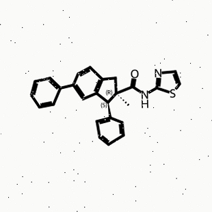 C[C@@]1(C(=O)Nc2nccs2)Cc2ccc(-c3ccccc3)cc2[C@@H]1c1ccccc1